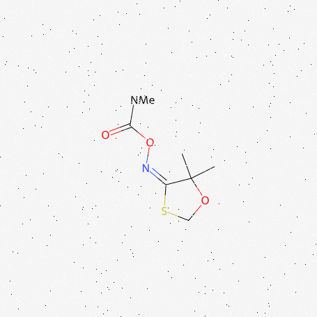 CNC(=O)ON=C1SCOC1(C)C